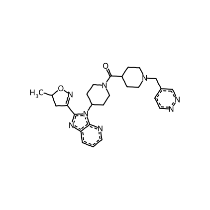 CC1CC(c2nc3cccnc3n2C2CCN(C(=O)C3CCN(Cc4ccnnc4)CC3)CC2)=NO1